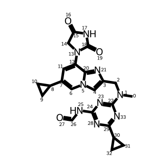 CN(Cc1cn2cc(C3CC3)cc(N3CC(=O)NC3=O)c2n1)c1nc(NC=O)nc(C2CC2)n1